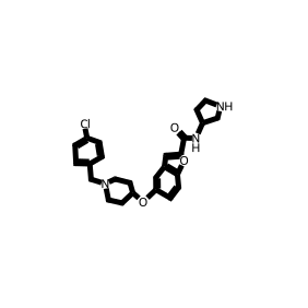 O=C(NC1CCNC1)c1cc2cc(OC3CCN(Cc4ccc(Cl)cc4)CC3)ccc2o1